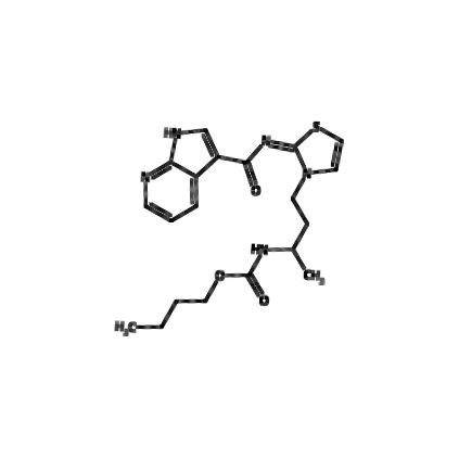 CCCCOC(=O)NC(C)CCn1ccsc1=NC(=O)c1c[nH]c2ncccc12